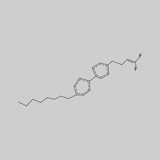 CCCCCCCCc1ccc(-c2ccc(CCC=C(F)F)cc2)cc1